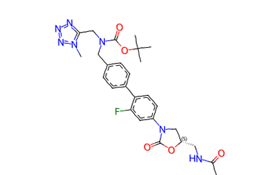 CC(=O)NC[C@H]1CN(c2ccc(-c3ccc(CN(Cc4nnnn4C)C(=O)OC(C)(C)C)cc3)c(F)c2)C(=O)O1